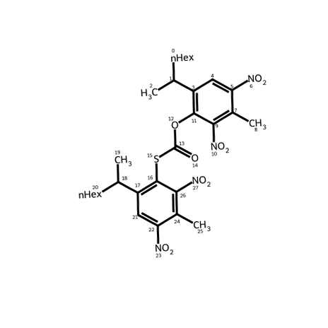 CCCCCCC(C)c1cc([N+](=O)[O-])c(C)c([N+](=O)[O-])c1OC(=O)Sc1c(C(C)CCCCCC)cc([N+](=O)[O-])c(C)c1[N+](=O)[O-]